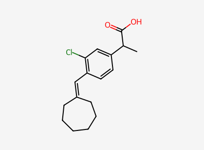 CC(C(=O)O)c1ccc(C=C2CCCCCC2)c(Cl)c1